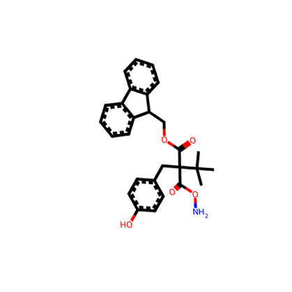 CC(C)(C)C(Cc1ccc(O)cc1)(C(=O)ON)C(=O)OCC1c2ccccc2-c2ccccc21